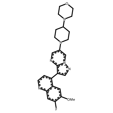 COc1cc2c(-c3cnn4cc(N5CCC(N6CCOCC6)CC5)cnc34)ccnc2cc1F